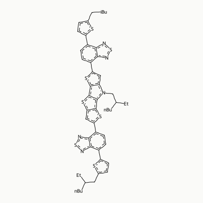 CCCCC(CC)Cc1ccc(-c2ccc(-c3cc4sc5c6sc(-c7ccc(-c8ccc(CC(C)CC)s8)c8nsnc78)cc6n(CC(CC)CCCC)c5c4s3)c3nsnc23)s1